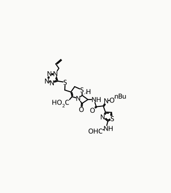 C=CCn1nnnc1SCC1=C(C(=O)O)N2C(=O)C(NC(=O)C(=NOCCCC)c3csc(NC=O)n3)[C@@H]2SC1